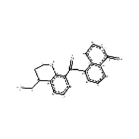 NCC1CCOc2c(C(=O)c3cccc4c(=O)[nH]ccc34)cccc21